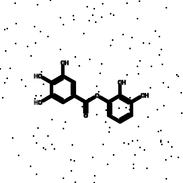 O=C(Oc1cccc(O)c1O)c1cc(O)c(O)c(O)c1